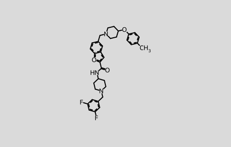 Cc1ccc(OC2CCN(Cc3ccc4oc(C(=O)NC5CCN(Cc6cc(F)cc(F)c6)CC5)cc4c3)CC2)cc1